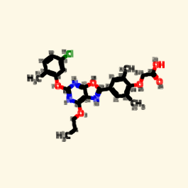 CCCOc1nc(Oc2cc(Cl)ccc2C)nc2oc(-c3cc(C)c(OCC(=O)O)c(C)c3)nc12